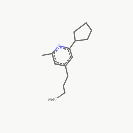 COCCCc1cc(C)nc(C2CCCC2)c1